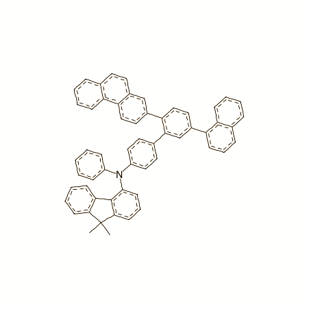 CC1(C)c2ccccc2-c2c(N(c3ccccc3)c3ccc(-c4cc(-c5cccc6ccccc56)ccc4-c4ccc5c(ccc6ccccc65)c4)cc3)cccc21